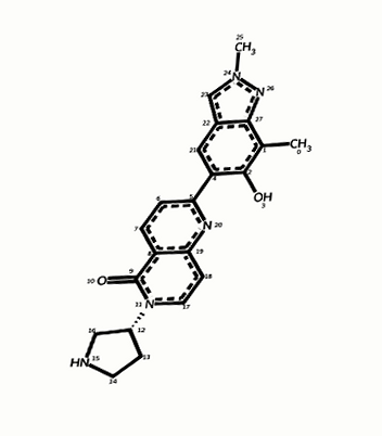 Cc1c(O)c(-c2ccc3c(=O)n([C@@H]4CCNC4)ccc3n2)cc2cn(C)nc12